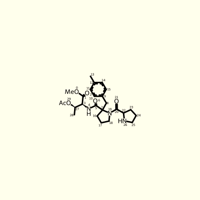 COC(=O)[C@@H](NC(=O)C1(Cc2ccc(C)cc2)CCCN1C(=O)C1CCCN1)[C@@H](C)OC(C)=O